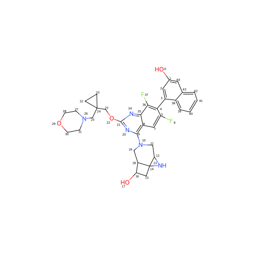 Oc1cc(-c2c(F)cc3c(N4CC5NC56CC(O)C6C4)nc(OCC4(CN5CCOCC5)CC4)nc3c2F)c2ccccc2c1